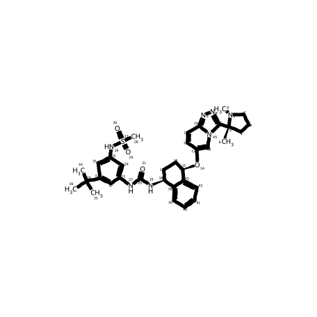 CN1CCC[C@]1(C)c1nnc2ccc(O[C@@H]3CC[C@H](NC(=O)Nc4cc(NS(C)(=O)=O)cc(C(C)(C)C)c4)c4ccccc43)cn12